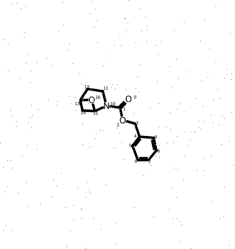 O=C(OCc1ccccc1)N1CCC2CC1O2